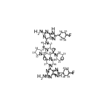 Nc1nc(N2CCN(C(C(=O)N3CCCC3)C(C(=O)N3CCOCC3)N3CCN(c4nc(N)nc5[nH]c(-c6ccc(F)cc6)nc45)CC3)CC2)c2nc(-c3ccc(F)cc3)[nH]c2n1